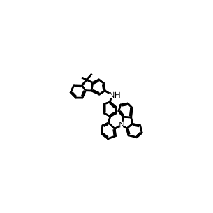 CC1(C)c2ccccc2-c2cc(Nc3ccc(-c4ccccc4-n4c5ccccc5c5ccccc54)cc3)ccc21